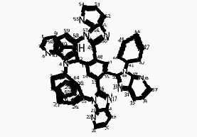 c1ccc(N2c3ncccc3NC2c2cc(-c3nc4cccnc4n3-c3ccccc3)c(-c3nc4cccnc4n3-c3ccccc3)cc2-c2nc3cccnc3n2-c2ccccc2)cc1